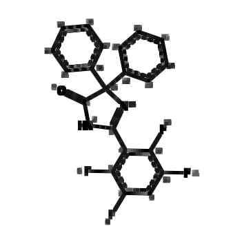 O=C1NC(c2c(F)c(F)cc(F)c2F)=NC1(c1ccccc1)c1ccccc1